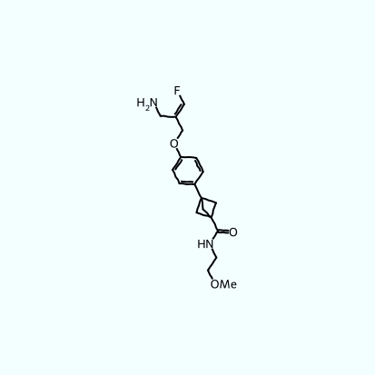 COCCNC(=O)C12CC(c3ccc(OC/C(=C/F)CN)cc3)(C1)C2